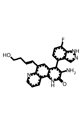 Nc1c(-c2ccc(F)c3[nH]ncc23)c2cc(/C=C/CCO)c3ncccc3c2[nH]c1=O